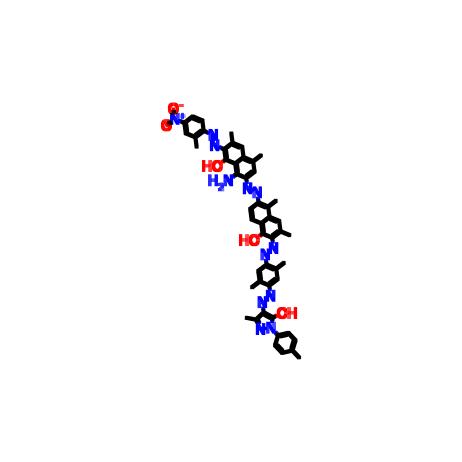 Cc1ccc(-n2nc(C)c(/N=N/c3cc(C)c(/N=N/c4c(C)cc5c(C)c(/N=N/c6cc(C)c7cc(C)c(/N=N/c8ccc([N+](=O)[O-])cc8C)c(O)c7c6N)ccc5c4O)cc3C)c2O)cc1